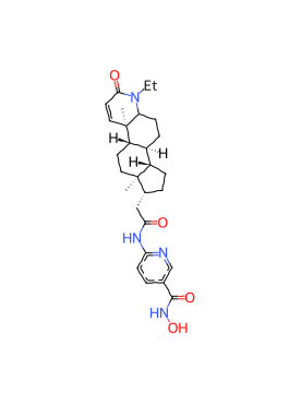 CCN1C(=O)C=C[C@@]2(C)C1CC[C@H]1[C@@H]3CC[C@H](CC(=O)Nc4ccc(C(=O)NO)cn4)[C@@]3(C)CC[C@@H]12